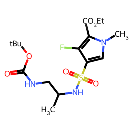 CCOC(=O)c1c(F)c(S(=O)(=O)NC(C)CNC(=O)OC(C)(C)C)cn1C